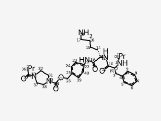 CC(C)N[C@@H](Cc1ccccc1)C(=O)N[C@@H](CCCCN)C(=O)Nc1ccc(COC(=O)N2CCN(C(=O)C(C)C)CC2)cc1